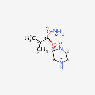 C1CNCCN1.CC(C)C(=O)ON